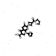 O=C(O)c1cn(-c2nccs2)c2nc(N3CC(C(=O)N4CCCO4)C3)c(F)cc2c1=O